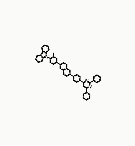 Cc1cc(-c2ccc3cc(-c4ccc(-c5cc(-c6ccccc6)nc(-c6ccccc6)n5)cc4)ccc3c2)ccc1-n1c2ccccc2c2ccccc21